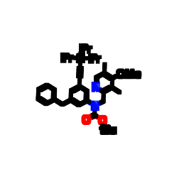 COc1c(C)cnc(CN(C(=O)OC(C)(C)C)c2cc(C#C[Si](C(C)C)(C(C)C)C(C)C)cc(Cc3ccccc3)c2)c1C